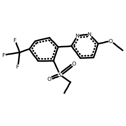 CCS(=O)(=O)c1cc(C(F)(F)F)ccc1-c1ccc(OC)nn1